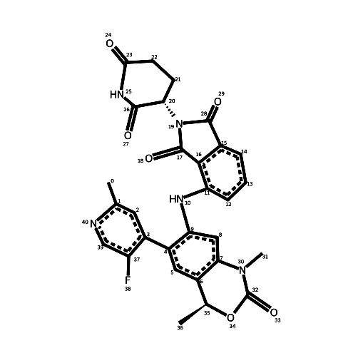 Cc1cc(-c2cc3c(cc2Nc2cccc4c2C(=O)N([C@H]2CCC(=O)NC2=O)C4=O)N(C)C(=O)O[C@H]3C)c(F)cn1